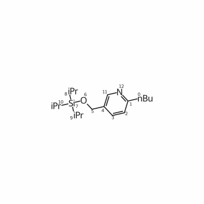 CCCCc1ccc(CO[Si](C(C)C)(C(C)C)C(C)C)cn1